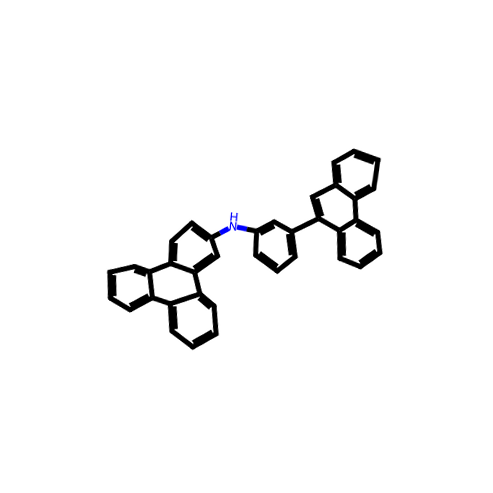 c1cc(Nc2ccc3c4ccccc4c4ccccc4c3c2)cc(-c2cc3ccccc3c3ccccc23)c1